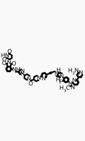 Cc1nc2ccc(-c3ccnc(N)c3)nc2n1-c1ccc(N2C[C@@H]3C[C@H]2CN3CC#Cc2ccc(N3CCC(C(=O)N4CCC(n5cc(CNc6cccc7c6C(=O)N(C6CCC(=O)NC6=O)C7=O)cn5)CC4)CC3)nc2)c(F)c1